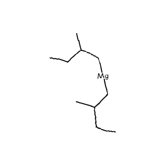 CCC(C)[CH2][Mg][CH2]C(C)CC